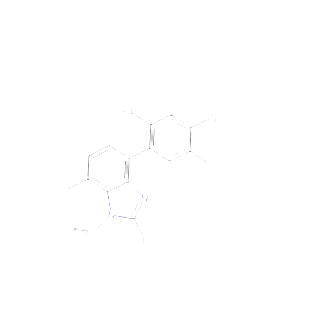 CCCC(C)n1c(CC)nc2c(-c3cc(Cl)c(Cl)cc3Cl)ccc(C)c21